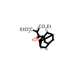 CCOC(=O)C(C(=O)OCC)C(=O)C12CC3CC(CC(C3)C1)C2